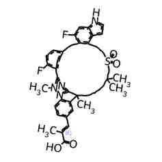 C/C(=C\c1cccc(C2(C)CCCC(C)(C)CS(=O)(=O)CCc3c(c(F)cc4[nH]ccc34)Cc3ccc(F)c(c3)-c3nc2nn3C)c1)C(=O)O